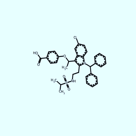 CC(Oc1ccc(C(=O)O)cc1)c1c(CCNS(=O)(=O)C(C)C)n(C(c2ccccc2)c2ccccc2)c2ccc(Cl)cc12